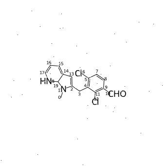 CN1C(Cc2c(Cl)ccc(C=O)c2Cl)=CC2=CC=CNC21